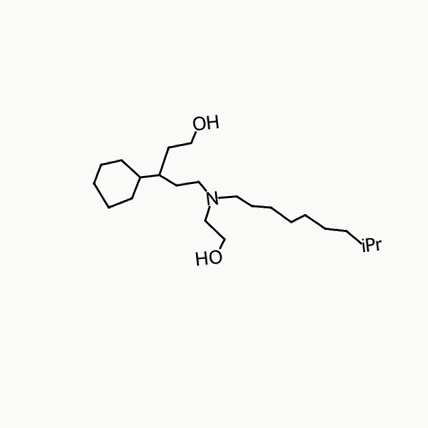 CC(C)CCCCCCCN(CCO)CCC(CCO)C1CCCCC1